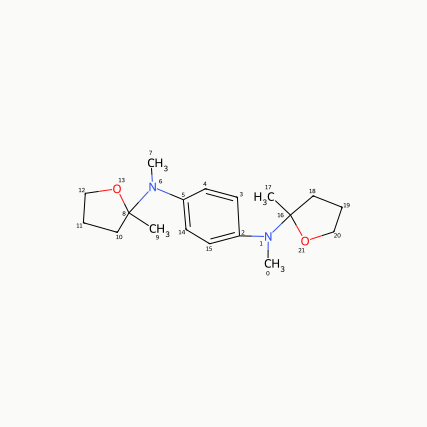 CN(c1ccc(N(C)C2(C)CCCO2)cc1)C1(C)CCCO1